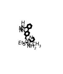 CCSC1N(N)c2c(C)ccnc2N1Cc1ccc(-c2ccccc2-c2nnn[nH]2)cc1